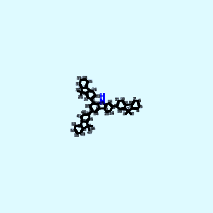 CC1(C)c2ccccc2-c2ccc(-c3ccc4c(c3)[nH]c3c(-c5ccc6c(c5)C(C)(C)c5ccccc5-6)cc(-c5ccc6c(c5)C(C)(C)c5ccccc5-6)cc34)cc21